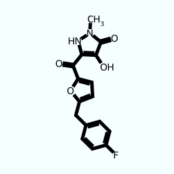 Cn1[nH]c(C(=O)c2ccc(Cc3ccc(F)cc3)o2)c(O)c1=O